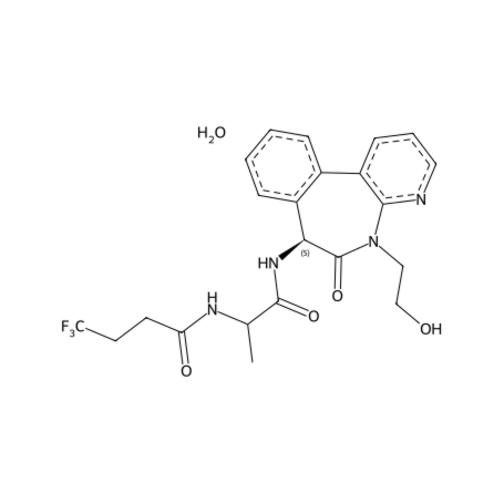 CC(NC(=O)CCC(F)(F)F)C(=O)N[C@@H]1C(=O)N(CCO)c2ncccc2-c2ccccc21.O